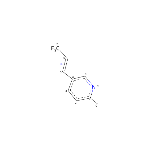 Cc1ccc(/C=C/C(F)(F)F)cn1